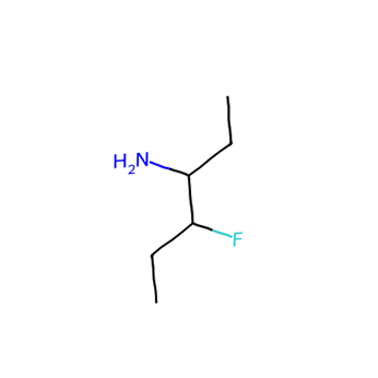 CCC(N)C(F)CC